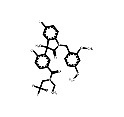 CCN(CC(F)(F)F)C(=O)c1ccc(Cl)c(C2(C)C(=O)N(Cc3ccc(OC)cc3OC)c3ccc(Cl)cc32)c1